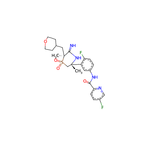 C[C@]1(CC2CCOCC2)C(=N)N[C@](C)(c2cc(NC(=O)c3ccc(F)cn3)ccc2F)CS1(=O)=O